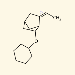 C/C=C1/CC2CC(OC3CCCCC3)C1C2